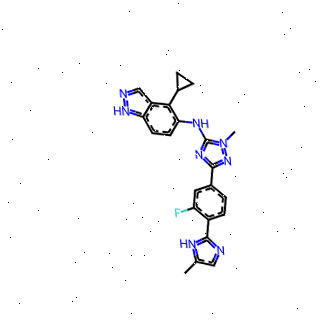 Cc1cnc(-c2ccc(-c3nc(Nc4ccc5[nH]ncc5c4C4CC4)n(C)n3)cc2F)[nH]1